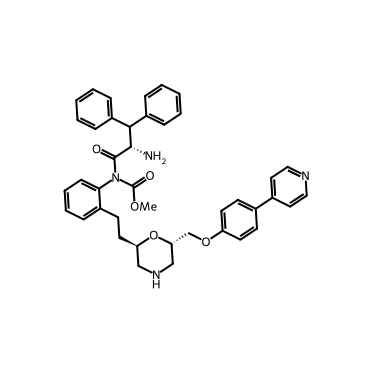 COC(=O)N(C(=O)[C@@H](N)C(c1ccccc1)c1ccccc1)c1ccccc1CC[C@@H]1CNC[C@@H](COc2ccc(-c3ccncc3)cc2)O1